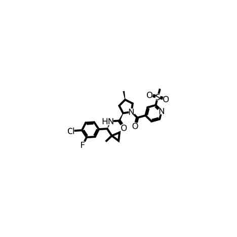 C[C@@H]1C[C@H](C(=O)N[C@@H](c2ccc(Cl)c(F)c2)C2(C)CC2)N(C(=O)c2ccnc(S(C)(=O)=O)c2)C1